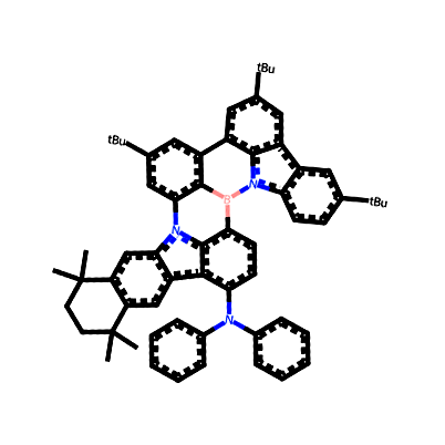 CC(C)(C)c1cc2c3c(c1)-n1c4cc5c(cc4c4c(N(c6ccccc6)c6ccccc6)ccc(c41)B3n1c3ccc(C(C)(C)C)cc3c3cc(C(C)(C)C)cc-2c31)C(C)(C)CCC5(C)C